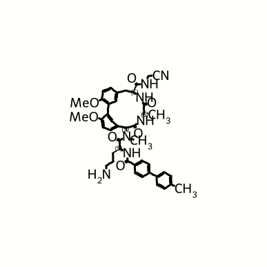 COc1ccc2cc1-c1cc(ccc1OC)[C@H](N(C)C(=O)[C@H](CCCN)NC(=O)c1ccc(-c3ccc(C)cc3)cc1)C(=O)N[C@@H](C)C(=O)N[C@H](C(=O)NCC#N)C2